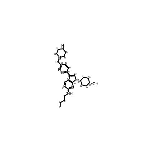 CCCCNc1ncc2c(-c3ccc(CN4CCNCC4)nn3)cn([C@H]3CC[C@H](O)CC3)c2n1